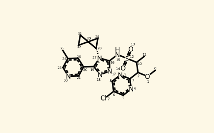 COC(c1ncc(Cl)cn1)C(C)S(=O)(=O)Nc1nnc(-c2cncc(C)c2)n1[C@H]1CC12CC2